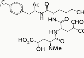 CN[C@@H](CC(O)C(=O)O)C(=O)NC(CC(C=O)C(=O)O)C(=O)NC(CCCC=O)C(=O)NC(Cc1ccc(C(=O)O)cc1)C(C)=O